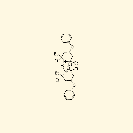 CCC1(CC)CC(Oc2ccccc2)CC(CC)(CC)N1ON1C(CC)(CC)CC(Oc2ccccc2)CC1(CC)CC